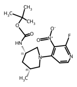 C[C@@H]1C[C@H](NC(=O)OC(C)(C)C)CN(c2ccnc(F)c2[N+](=O)[O-])C1